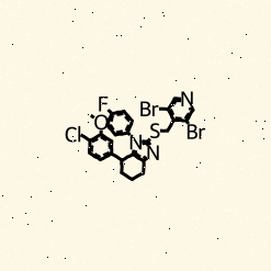 COc1cc(C2CCCc3nc(SCc4c(Br)cncc4Br)n(-c4ccc(F)cc4)c32)ccc1Cl